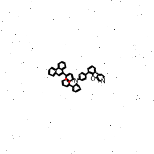 c1ccc(-c2ccccc2N(c2ccc(-c3cc4ccccc4c4ccccc34)cc2)c2ccc(-c3cccc4c3oc3cnccc34)cc2)cc1